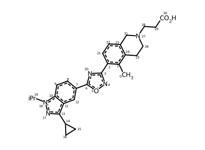 Cc1c(-c2noc(-c3ccc4c(c3)c(C3CC3)nn4C(C)C)n2)ccc2c1CCN(CCC(=O)O)C2